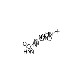 COc1cc(-c2cn(Cc3ccc(N4CCC[C@@H](NCCC(C)(C)C)C4)nn3)nn2)c2cn[nH]c2c1